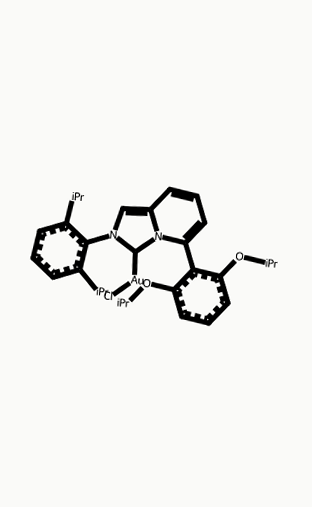 CC(C)Oc1cccc(OC(C)C)c1C1=CC=CC2=CN(c3c(C(C)C)cccc3C(C)C)[CH]([Au-][Cl])N21